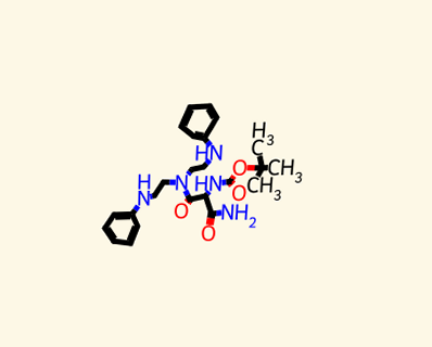 CC(C)(C)OC(=O)NC(C(N)=O)C(=O)N(CCNc1ccccc1)CCNc1ccccc1